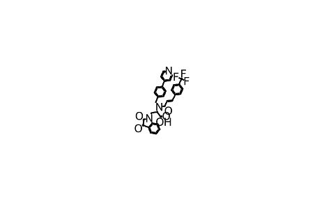 O=C1C(=O)N(CC(C(=O)O)N(Cc2ccc(-c3ccncc3)cc2)C(=O)C=Cc2ccc(C(F)(F)F)cc2)c2ccccc21